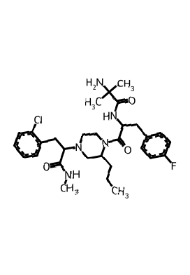 CCCC1CN(C(Cc2ccccc2Cl)C(=O)NC)CCN1C(=O)C(Cc1ccc(F)cc1)NC(=O)C(C)(C)N